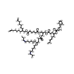 C=CCCCCCC(CCCCCC=C)COC(=O)CCCCC(=O)OCC(COC(=O)CCC(CCCCCC)OC(=O)NCCN1CCCC1)COC(=O)CCC(OCCCC/C=C\CC)OCCCC/C=C\CC